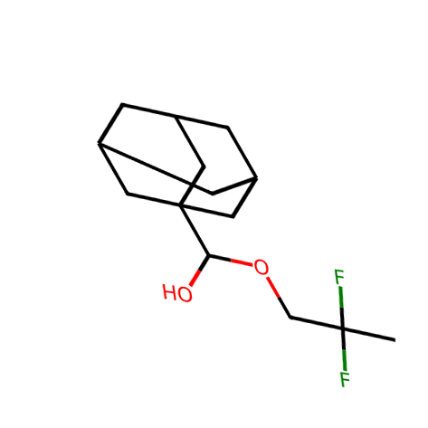 CC(F)(F)COC(O)C12CC3CC(CC(C3)C1)C2